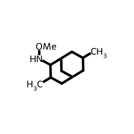 CONC1C(C)CC2CC(C)CC1C2